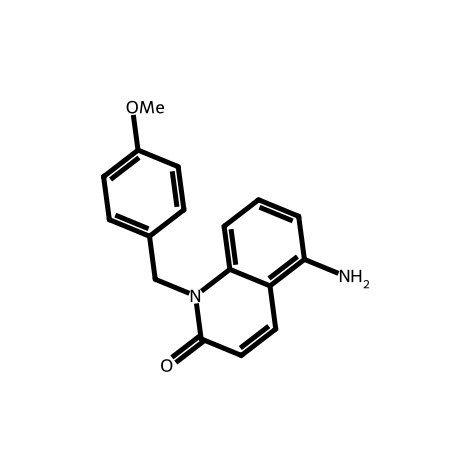 COc1ccc(Cn2c(=O)ccc3c(N)cccc32)cc1